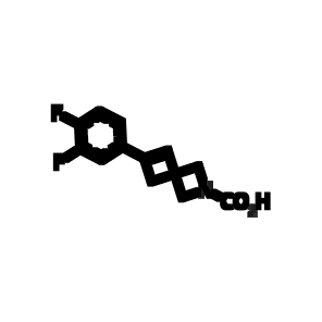 O=C(O)N1CC2(C=C(c3ccc(F)c(F)c3)C2)C1